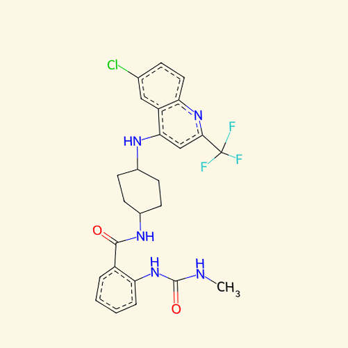 CNC(=O)Nc1ccccc1C(=O)NC1CCC(Nc2cc(C(F)(F)F)nc3ccc(Cl)cc23)CC1